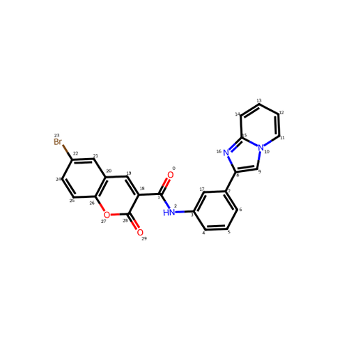 O=C(Nc1cccc(-c2cn3ccccc3n2)c1)c1cc2cc(Br)ccc2oc1=O